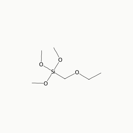 CCOC[Si](OC)(OC)OC